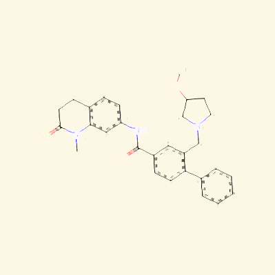 CCOC1CCN(Cc2cc(C(=O)Nc3ccc4c(c3)N(C)C(=O)CC4)ccc2-c2ccccc2)C1